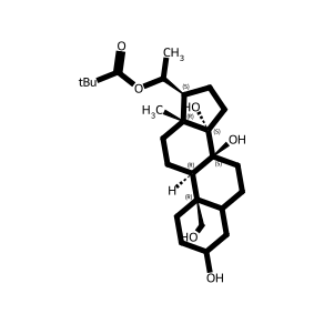 CC(OC(=O)C(C)(C)C)[C@H]1CC[C@]2(O)[C@]1(C)CC[C@@H]1[C@@]3(CO)CCC(O)CC3CC[C@]12O